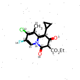 CCOC(=O)C1C(=O)C(C2CC2)=C2C(C)=C(Cl)C(F)=CN2C1=O